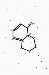 OC1C=CC=C2CCCCC21